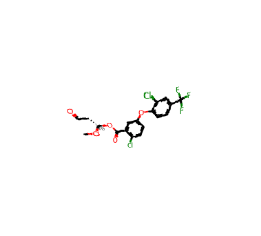 CO[C@H](CC=O)OC(=O)c1cc(Oc2ccc(C(F)(F)F)cc2Cl)ccc1Cl